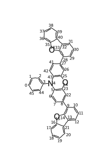 c1ccc(N2c3ccc(-c4cccc5c4oc4ccccc45)cc3Oc3cc(-c4cccc5c4oc4ccccc45)ccc32)cc1